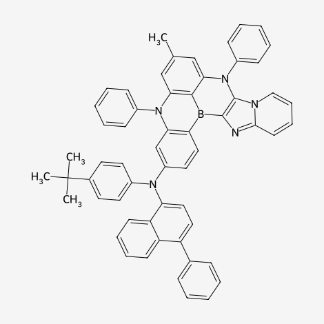 Cc1cc2c3c(c1)N(c1ccccc1)c1c(nc4ccccn14)B3c1ccc(N(c3ccc(C(C)(C)C)cc3)c3ccc(-c4ccccc4)c4ccccc34)cc1N2c1ccccc1